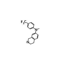 CN(c1ccc(C(F)(F)F)cc1)c1ccc2c(c1)C[N]CC2